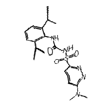 CC(C)c1cccc(C(C)C)c1NC(=O)NS(=O)(=O)c1ccc(N(C)C)nn1